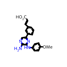 COc1ccc(Nc2nc(-c3cccc(C=CC(=O)O)c3)cnc2N)cc1